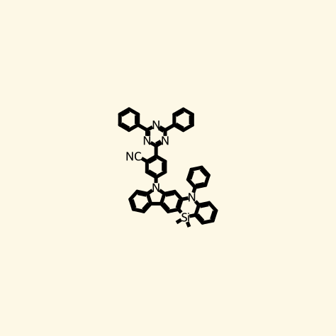 C[Si]1(C)c2ccccc2N(c2ccccc2)c2cc3c(cc21)c1ccccc1n3-c1ccc(-c2nc(-c3ccccc3)nc(-c3ccccc3)n2)c(C#N)c1